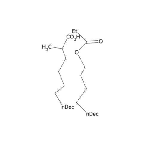 CCCCCCCCCCCCCCC(C)C(=O)O.CCCCCCCCCCCCCCOC(=O)CC